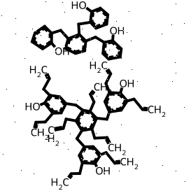 C=CCc1cc(Cc2c(CC=C)c(Cc3cc(CC=C)c(O)c(CC=C)c3)c(CC=C)c(Cc3cc(CC=C)c(O)c(CC=C)c3)c2CC=C)cc(CC=C)c1O.Oc1ccccc1Cc1cccc(Cc2ccccc2O)c1Cc1ccccc1O